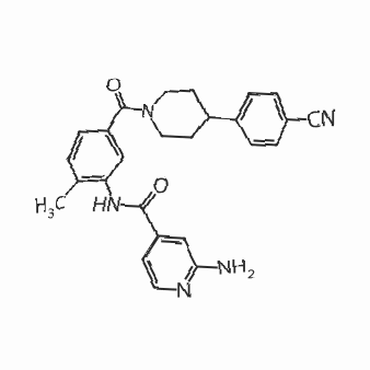 Cc1ccc(C(=O)N2CCC(c3ccc(C#N)cc3)CC2)cc1NC(=O)c1ccnc(N)c1